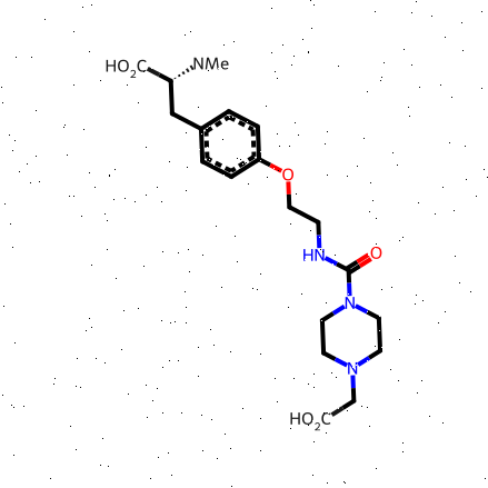 CN[C@H](Cc1ccc(OCCNC(=O)N2CCN(CC(=O)O)CC2)cc1)C(=O)O